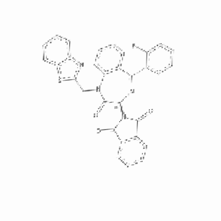 O=C1[C@H](N2C(=O)c3ccccc3C2=O)N=C(c2ccccc2F)c2ccccc2N1Cc1nc2ccccc2s1